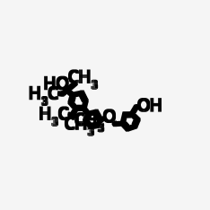 CCC(O)(CC)c1ccc(-c2cccc(OCc3cccc(CO)c3)c2)c(C(C)(C)C)c1